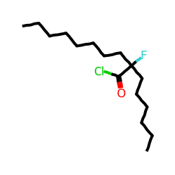 CCCCCCCCC(F)(CCCCCC)C(=O)Cl